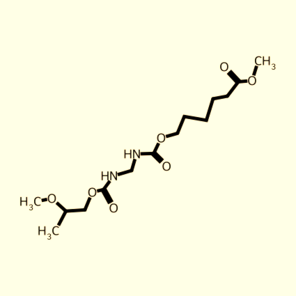 COC(=O)CCCCCOC(=O)NCNC(=O)OCC(C)OC